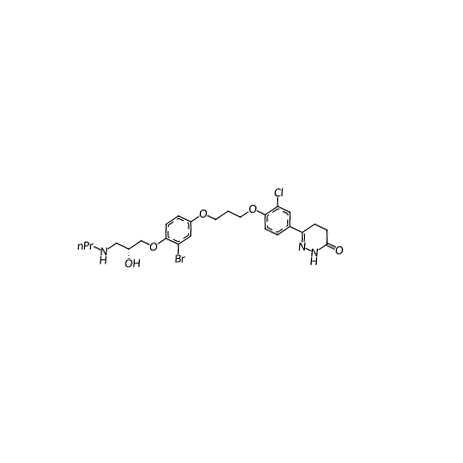 CCCNC[C@@H](O)COc1ccc(OCCCOc2ccc(C3=NNC(=O)CC3)cc2Cl)cc1Br